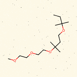 CCC(C)(C)OCCC(C)(C)OCCOCCOC